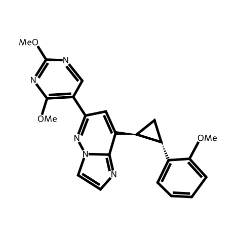 COc1ncc(-c2cc([C@H]3C[C@@H]3c3ccccc3OC)c3nccn3n2)c(OC)n1